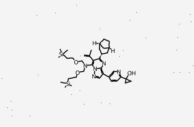 C=C(C)c1c([C@H]2C[C@@H]3CC[C@@H](C3)C2)nc2c(-c3ccc(C4(O)CC4)nc3)cnn2c1N(COCC[Si](C)(C)C)COCC[Si](C)(C)C